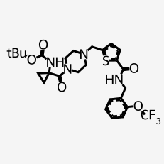 CC(C)(C)OC(=O)NC1(C(=O)N2CCN(Cc3ccc(C(=O)NCc4ccccc4OC(F)(F)F)s3)CC2)CC1